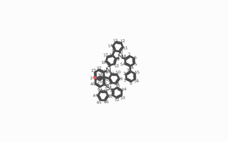 c1ccc(-c2cccc(-n3c4ccccc4c4ccc(-n5c6ccccc6c6c([Si](c7ccccc7)(c7ccccc7)c7ccccc7)cccc65)cc43)c2)cc1